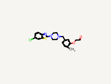 Cc1ccc(CN2CCN(c3nc4ccc(Cl)cc4s3)CC2)cc1OCC=O